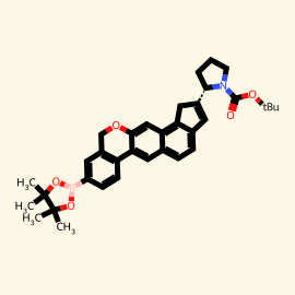 CC(C)(C)OC(=O)N1CCC[C@H]1C1=Cc2ccc3cc4c(cc3c2C1)OCc1cc(B2OC(C)(C)C(C)(C)O2)ccc1-4